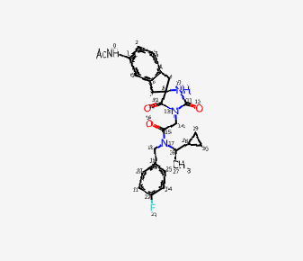 CC(=O)Nc1ccc2c(c1)CC1(C2)NC(=O)N(CC(=O)N(Cc2ccc(F)cc2)C(C)C2CC2)C1=O